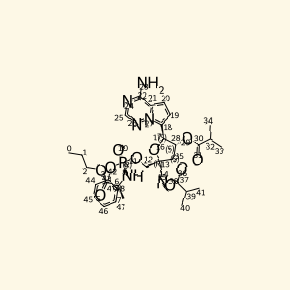 CCCOC(=O)[C@H](C)N[P@@](=O)(OC[C@@]1(C#N)O[C@@H](c2ccc3c(N)ncnn23)[C@H](OC(=O)C(C)C)[C@@H]1OC(=O)C(C)C)Oc1ccccc1